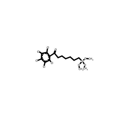 CO[Si](CCCCCCC(=O)c1c(Cl)c(Cl)c(Cl)c(Cl)c1Cl)(OC)OC